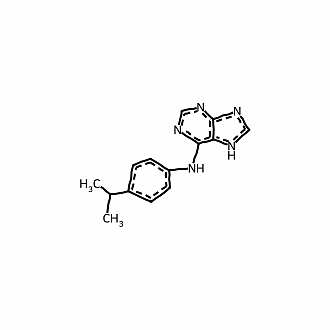 CC(C)c1ccc(Nc2ncnc3nc[nH]c23)cc1